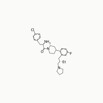 CC[C@@H](Cc1cc(F)ccc1C1CCN(C(=O)[C@H](N)Cc2ccc(Cl)cc2)CC1)CN1CCCC1